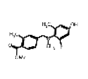 COC(=O)c1ccc(CN(C)c2c(C)cc(O)cc2F)cc1C